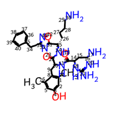 Cc1cc(O)cc(C)c1CC(NC(=O)C(CCN)NC(=N)N)C(=O)N[C@@H](CCCCN)c1nc(Cc2ccccc2)no1